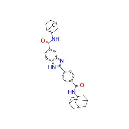 O=C(NC1CC2CCC1CC2)c1ccc2[nH]c(-c3ccc(C(=O)NC45CC6CC(CC(C6)C4)C5)cc3)nc2c1